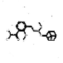 COB(CCc1cccc(C(=O)C(Cl)Cl)c1OC)OC1CCC2CC1C2(C)C